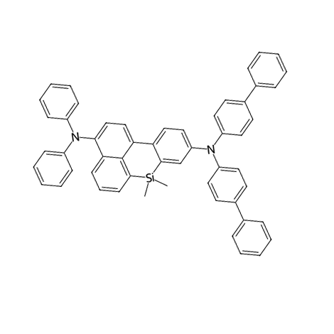 C[Si]1(C)c2cc(N(c3ccc(-c4ccccc4)cc3)c3ccc(-c4ccccc4)cc3)ccc2-c2ccc(N(c3ccccc3)c3ccccc3)c3cccc1c23